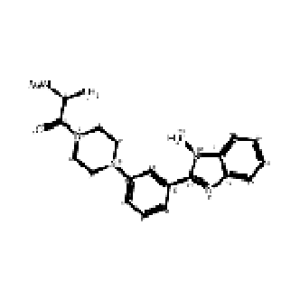 CN[C@@H](C)C(=O)N1CCN(c2cccc(-c3nc4ccccc4n3C)c2)CC1